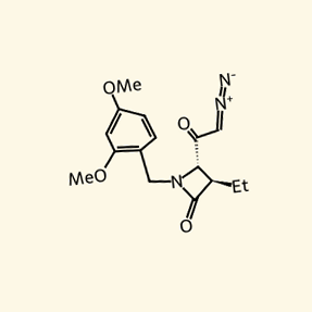 CC[C@H]1C(=O)N(Cc2ccc(OC)cc2OC)[C@@H]1C(=O)C=[N+]=[N-]